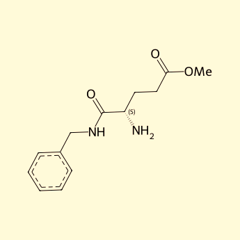 COC(=O)CC[C@H](N)C(=O)NCc1ccccc1